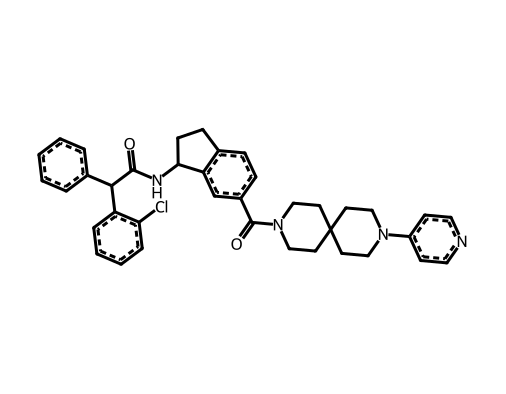 O=C(NC1CCc2ccc(C(=O)N3CCC4(CC3)CCN(c3ccncc3)CC4)cc21)C(c1ccccc1)c1ccccc1Cl